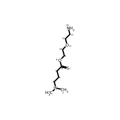 CN(C)CCCC(=S)OCCOCCN